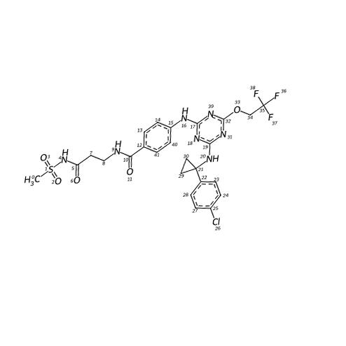 CS(=O)(=O)NC(=O)CCNC(=O)c1ccc(Nc2nc(NC3(c4ccc(Cl)cc4)CC3)nc(OCC(F)(F)F)n2)cc1